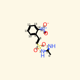 CC(=N)NS(=O)(=O)/C=C/c1ccccc1[N+](=O)[O-]